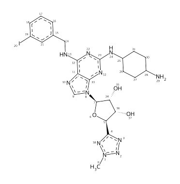 Cn1nnc([C@H]2O[C@@H](n3cnc4c(NCc5cccc(I)c5)nc(NC5CCC(N)CC5)nc43)[C@H](O)[C@@H]2O)n1